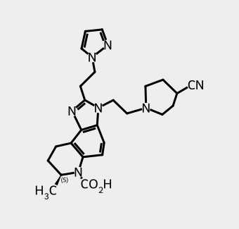 C[C@H]1CCc2c(ccc3c2nc(CCn2cccn2)n3CCN2CCC(C#N)CC2)N1C(=O)O